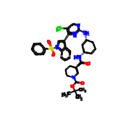 CC(C)(C)OC(=O)N1CCC[C@@H](C(=O)N[C@H]2CCC[C@@H](Nc3ncc(Cl)c(-c4cn(S(=O)(=O)c5ccccc5)c5ccccc45)n3)C2)C1